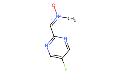 C/[N+]([O-])=C\c1ncc(F)cn1